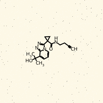 C#CCCNC(=O)C1(c2nnc3c(C(C)(C)O)cccn23)CC1